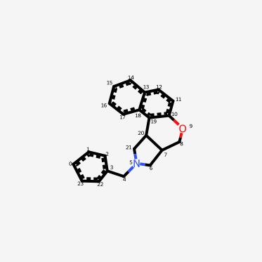 c1ccc(CN2CC3COc4ccc5ccccc5c4C3C2)cc1